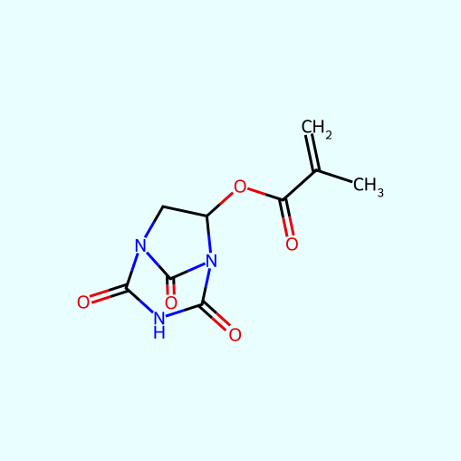 C=C(C)C(=O)OC1Cn2c(=O)[nH]c(=O)n1c2=O